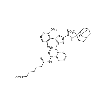 COc1cccc(OC)c1-c1cc(C(=O)NC2(C(=O)O)C3CC4CC(C3)CC2C4)nn1-c1ccc(NC(=O)CCCCCNC(C)=O)c2ccccc12